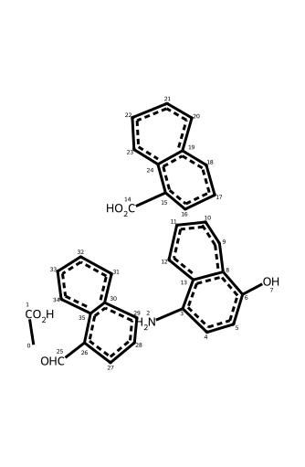 CC(=O)O.Nc1ccc(O)c2ccccc12.O=C(O)c1cccc2ccccc12.O=Cc1cccc2ccccc12